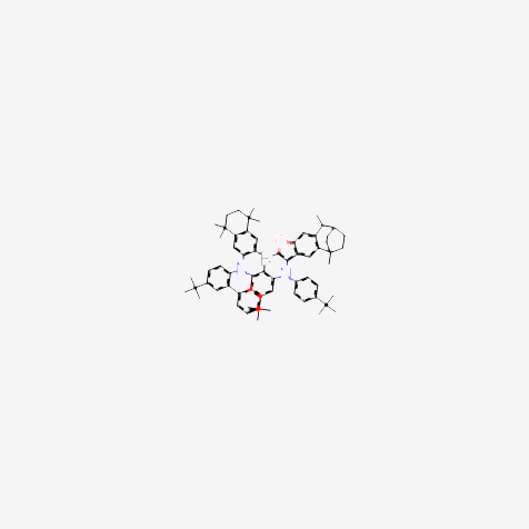 CC1c2cc3oc4c(c3cc2C2(C)CCC1CC2)N(c1ccc(C(C)(C)C)cc1)c1cc(C(C)(C)C)cc2c1B4c1cc3c(cc1N2c1ccc(C(C)(C)C)cc1-c1ccccc1)C(C)(C)CCC3(C)C